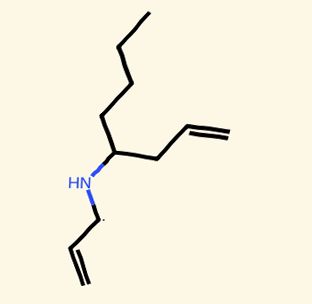 C=C[CH]NC(CC=C)CCCC